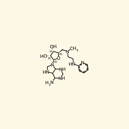 CN(CCNc1ccccn1)C[C@H]1O[C@@H](N2CNC3C(N)NCNC32)[C@H](O)[C@@H]1O